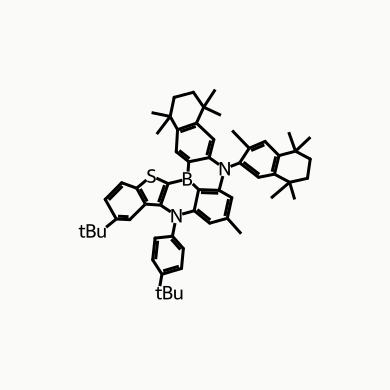 Cc1cc2c3c(c1)N(c1ccc(C(C)(C)C)cc1)c1c(sc4ccc(C(C)(C)C)cc14)B3c1cc3c(cc1N2c1cc2c(cc1C)C(C)(C)CCC2(C)C)C(C)(C)CCC3(C)C